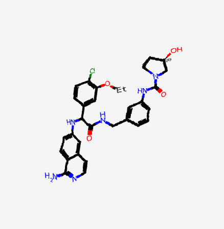 CCOc1cc(C(Nc2ccc3c(N)nccc3c2)C(=O)NCc2cccc(NC(=O)N3CC[C@@H](O)C3)c2)ccc1Cl